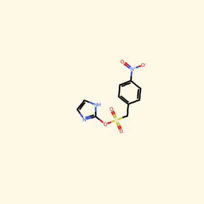 O=[N+]([O-])c1ccc(CS(=O)(=O)Oc2ncc[nH]2)cc1